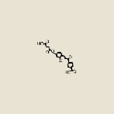 COc1cc(COC(=O)CCC(=O)O)ccc1C=CC(=O)c1ccc(C(=O)O)cc1